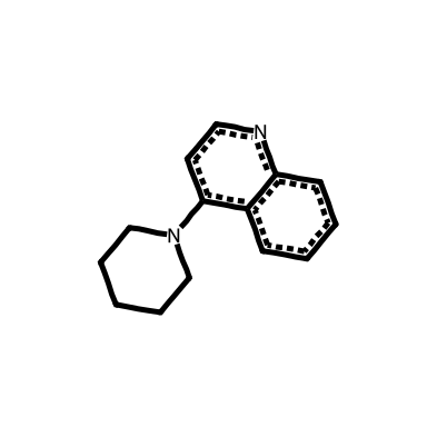 c1ccc2c(N3CCCCC3)ccnc2c1